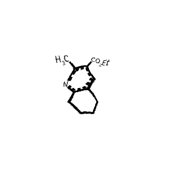 CCOC(=O)c1cc2c(nc1C)CCCC2